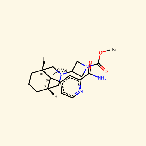 CO[C@@]1(c2ccnc(C(N)=O)c2)[C@@H]2CCC[C@H]1CN(C1CN(C(=O)OC(C)(C)C)C1)C2